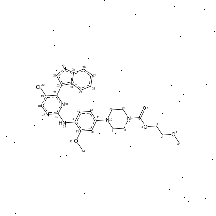 COCCOC(=O)N1CCN(c2ccc(Nc3ncc(Cl)c(-c4cnc5ccccn45)n3)c(OC)c2)CC1